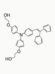 OCCOc1ccc(N(c2ccc(C=C(c3ccccc3)c3ccccc3)cc2)c2ccc(OCCO)cc2)cc1